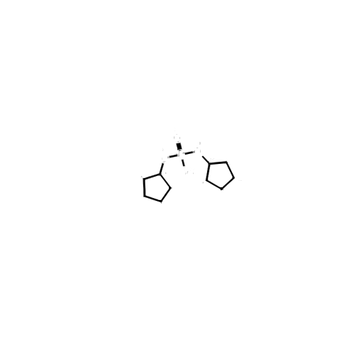 CC(C)P(=O)(OC1CCCC1)OC1CCCC1